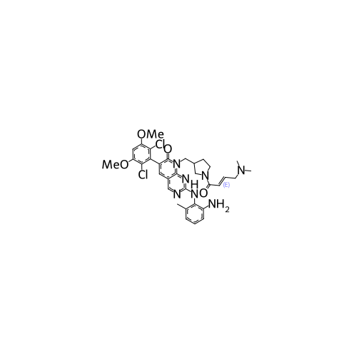 COc1cc(OC)c(Cl)c(-c2cc3cnc(Nc4c(C)cccc4N)nc3n(CC3CCN(C(=O)/C=C/CN(C)C)C3)c2=O)c1Cl